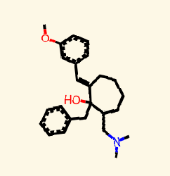 COc1cccc(C=C2CCCCC(CN(C)C)C2(O)Cc2ccccc2)c1